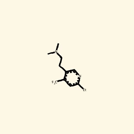 CCc1cc(C(F)(F)F)c(CCN(C)C)cn1